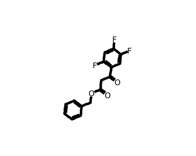 O=C(CC(=O)c1cc(F)c(F)cc1F)OCc1ccccc1